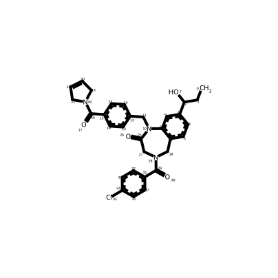 CCC(O)c1ccc2c(c1)N(Cc1ccc(C(=O)N3CC=CC3)cc1)C(=O)CN(C(=O)c1ccc(Cl)cc1)C2